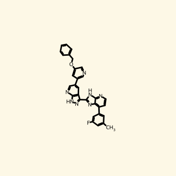 Cc1cc(F)cc(-c2ccnc3[nH]c(-c4n[nH]c5ncc(-c6cncc(OCc7ccccc7)c6)cc45)nc23)c1